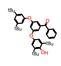 CC(C)(C)c1cc(Oc2cc(Oc3cc(C(C)(C)C)c(O)c(C(C)(C)C)c3)cc(C(=O)c3ccccc3)c2)cc(C(C)(C)C)c1